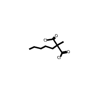 CCCCCC(C)(C(=O)Cl)C(=O)Cl